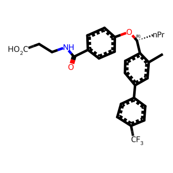 CCC[C@@H](Oc1ccc(C(=O)NCCC(=O)O)cc1)c1ccc(-c2ccc(C(F)(F)F)cc2)cc1C